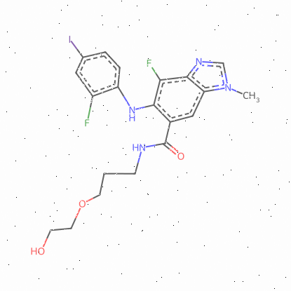 Cn1cnc2c(F)c(Nc3ccc(I)cc3F)c(C(=O)NCCCOCCO)cc21